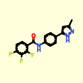 Cc1cc(-c2ccc(NC(=O)c3ccc(F)c(F)c3F)cc2)[nH]n1